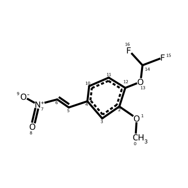 COc1cc(C=C[N+](=O)[O-])ccc1OC(F)F